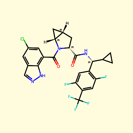 O=C(N[C@@H](c1cc(F)c(C(F)(F)F)cc1F)C1CC1)[C@H]1C[C@H]2C[C@H]2N1C(=O)c1cc(Cl)cc2cn[nH]c12